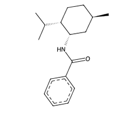 CC(C)[C@@H]1CC[C@@H](C)C[C@@H]1NC(=O)c1ccccc1